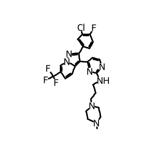 CN1CCN(CCCNc2nccc(-c3c(-c4ccc(F)c(Cl)c4)nn4cc(C(F)(F)F)ccc34)n2)CC1